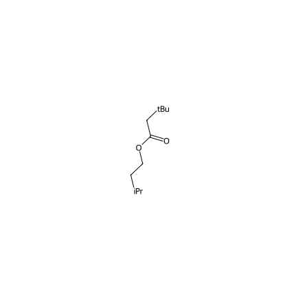 CC(C)CCOC(=O)CC(C)(C)C